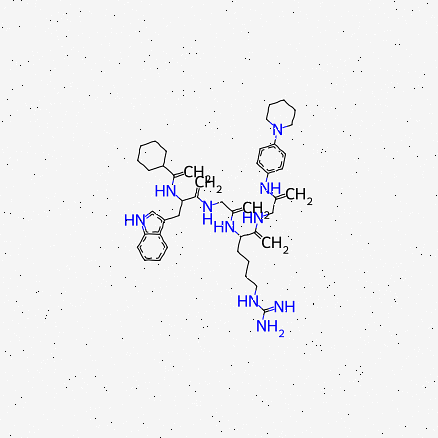 C=C(CNC(=C)C(CCCCNC(=N)N)NC(=C)CNC(=C)C(Cc1c[nH]c2ccccc12)NC(=C)C1CCCCC1)Nc1ccc(N2CCCCC2)cc1